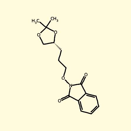 CC1(C)OC[C@@H](CCCON2C(=O)c3ccccc3C2=O)O1